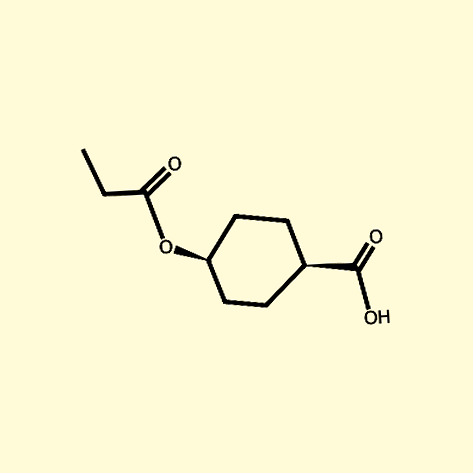 CCC(=O)O[C@H]1CC[C@@H](C(=O)O)CC1